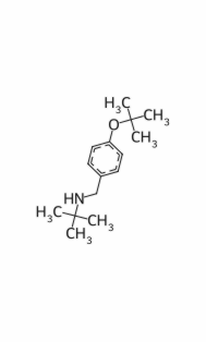 CC(C)(C)NCc1ccc(OC(C)(C)C)cc1